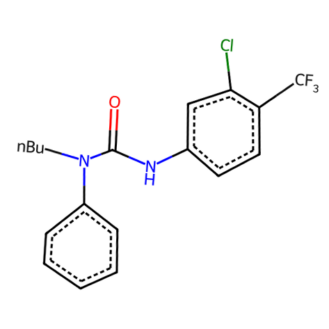 CCCCN(C(=O)Nc1ccc(C(F)(F)F)c(Cl)c1)c1ccccc1